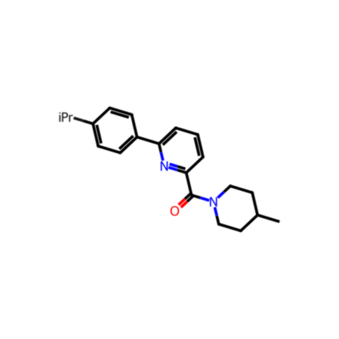 CC1CCN(C(=O)c2cccc(-c3ccc(C(C)C)cc3)n2)CC1